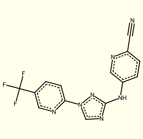 N#Cc1ccc(Nc2ncn(-c3ccc(C(F)(F)F)cn3)n2)cn1